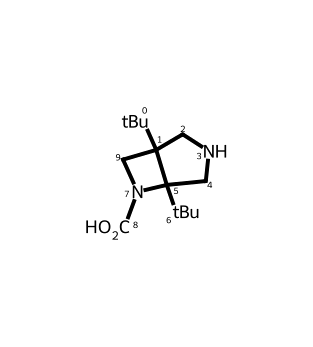 CC(C)(C)C12CNCC1(C(C)(C)C)N(C(=O)O)C2